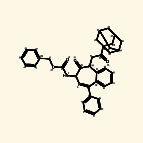 O=C(NC1N=C(c2ccccc2)c2ccccc2N(CC(=O)C23CC4CC(CC(C4)C2)C3)C1=O)OCc1ccccc1